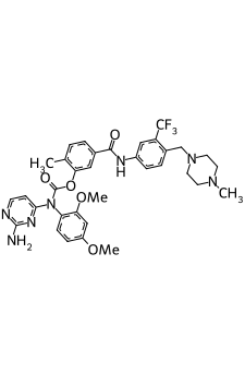 COc1ccc(N(C(=O)Oc2cc(C(=O)Nc3ccc(CN4CCN(C)CC4)c(C(F)(F)F)c3)ccc2C)c2ccnc(N)n2)c(OC)c1